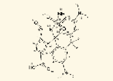 CN(C)c1ccc2c(c1)C(C)(C)c1cc(N(C)C)ccc1C21c2cc(C(=O)O)ccc2C(=O)N1S(N)(=O)=O